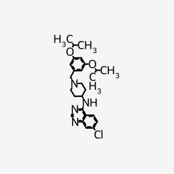 CC(C)Oc1cc(CN2CCC(Nc3ncnc4cc(Cl)ccc34)CC2)cc(OC(C)C)c1